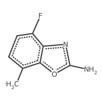 [CH2]c1ccc(F)c2nc(N)oc12